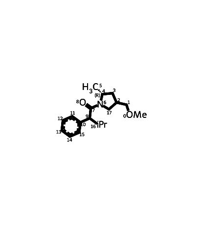 COCC1C[C@@H](C)N(C(=O)C(c2ccccc2)C(C)C)C1